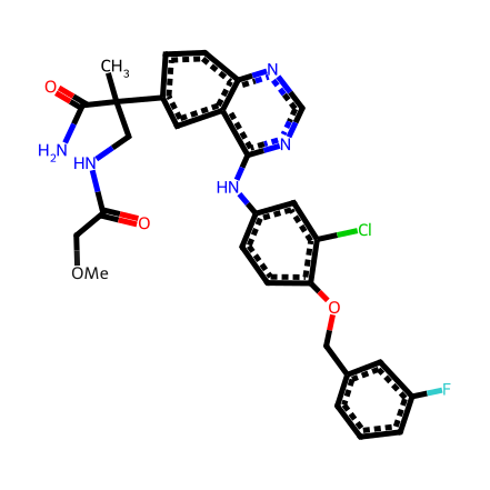 COCC(=O)NCC(C)(C(N)=O)c1ccc2ncnc(Nc3ccc(OCc4cccc(F)c4)c(Cl)c3)c2c1